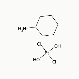 NC1CCCCC1.[OH][Pt]([OH])([Cl])[Cl]